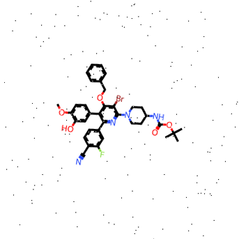 COc1ccc(-c2c(-c3ccc(C#N)c(F)c3)nc(N3CCC(NC(=O)OC(C)(C)C)CC3)c(Br)c2OCc2ccccc2)cc1O